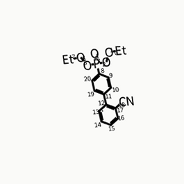 CCOOP(=O)(OOCC)c1ccc(-c2[c]cccc2C#N)cc1